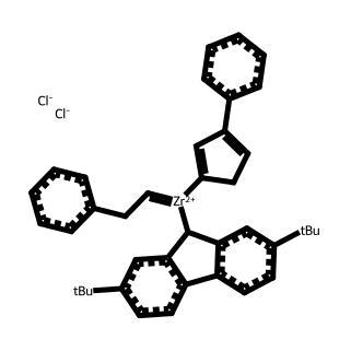 CC(C)(C)c1ccc2c(c1)[CH](/[Zr+2](=[CH]\Cc1ccccc1)[C]1=CC(c3ccccc3)=CC1)c1cc(C(C)(C)C)ccc1-2.[Cl-].[Cl-]